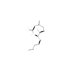 CCC\C=C/C1=N/C(Br)=C\C(C)C\C=C\1C